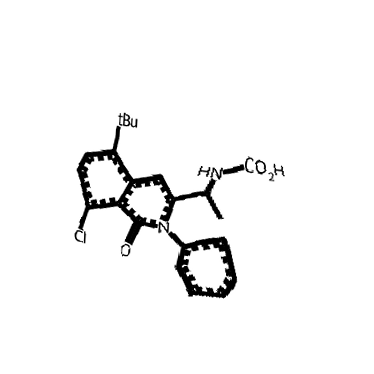 CC(NC(=O)O)c1cc2c(C(C)(C)C)ccc(Cl)c2c(=O)n1-c1ccccc1